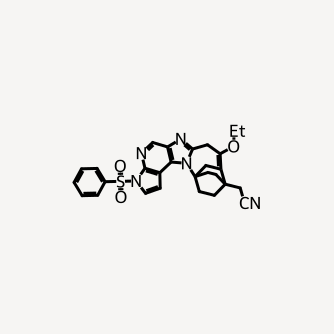 CCOC1=C2CC3(CCC2(CC#N)CC3)n2c(nc3cnc4c(ccn4S(=O)(=O)c4ccccc4)c32)C1